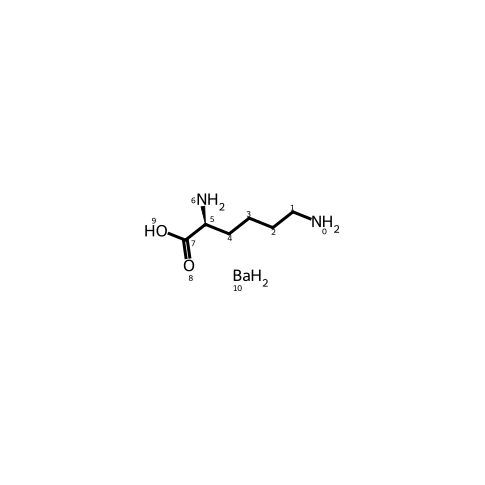 NCCCC[C@H](N)C(=O)O.[BaH2]